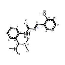 CN(C)C(c1ccccc1NC(=O)/C=C/c1ccccc1O)N(C)C